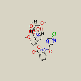 CO[C@H]1C[C@]2(O)[C@H]3CC4C5(C6C[C@H]1[C@H](OC)[C@@]62O)[C@@H](OC)CC[C@@]4(OC(=O)c1ccccc1NC(=O)c1cnc(Cl)cn1)[C@H](C)N35